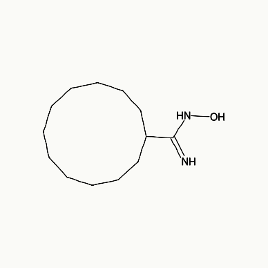 N=C(NO)C1CCCCCCCCCCC1